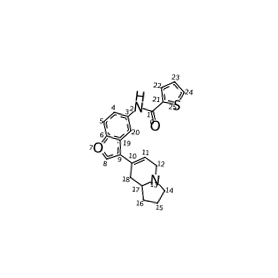 O=C(Nc1ccc2occ(C3=CCN4CCCC4C3)c2c1)c1cccs1